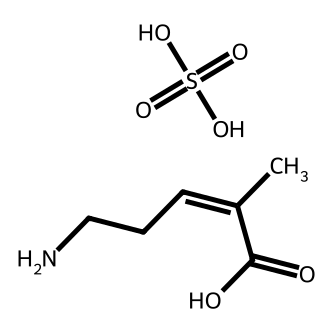 CC(=CCCN)C(=O)O.O=S(=O)(O)O